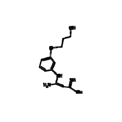 CC(C)(C)C(=N)/C=C(/N)Nc1cccc(OCCCO)c1